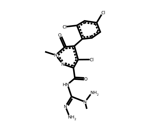 CN(N)/C(=N\N)NC(=O)c1nn(C)c(=O)c(-c2ccc(Cl)cc2Cl)c1Cl